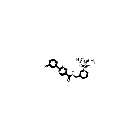 CN(C)S(=O)(=O)N1CCCC(CNC(=O)c2cnc(-c3cccc(F)c3)nc2)C1